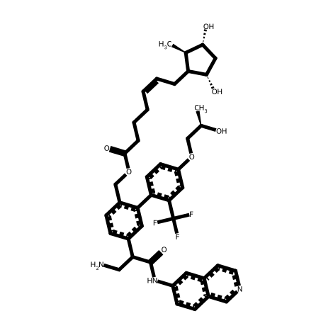 C[C@@H]1C(C/C=C\CCCC(=O)OCc2ccc(C(CN)C(=O)Nc3ccc4cnccc4c3)cc2-c2ccc(OC[C@@H](C)O)cc2C(F)(F)F)[C@@H](O)C[C@H]1O